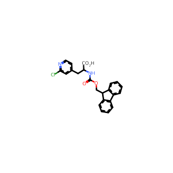 O=C(NC(Cc1ccnc(Cl)c1)C(=O)O)OCC1c2ccccc2-c2ccccc21